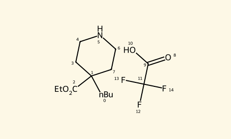 CCCCC1(C(=O)OCC)CCNCC1.O=C(O)C(F)(F)F